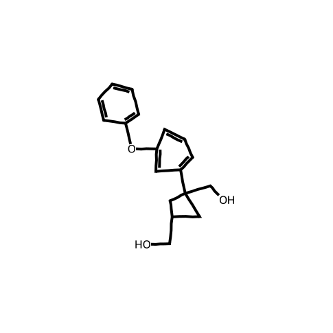 OCC1CC(CO)(c2cccc(Oc3ccccc3)c2)C1